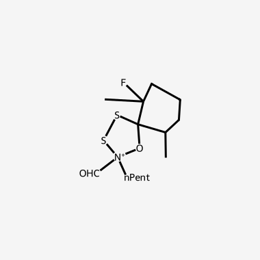 CCCCC[N+]1(C=O)OC2(SS1)C(C)CCCC2(C)F